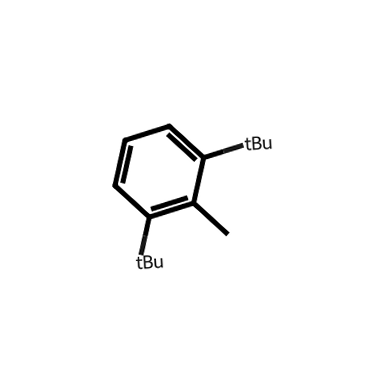 Cc1c(C(C)(C)C)cccc1C(C)(C)C